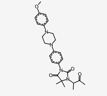 COc1ccc(N2CCN(c3ccc(N4C(=O)N(C(C)C(C)=O)C(C)(C)C4=O)cc3)CC2)cc1